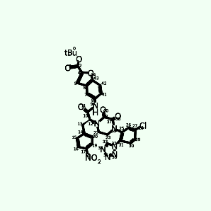 CC(C)(C)OC(=O)c1cc2cc(NC(=O)[C@H](Cc3ccc([N+](=O)[O-])cc3)N3CCN(c4cc(Cl)ccc4-n4cnnn4)C(=O)C3=O)ccc2o1